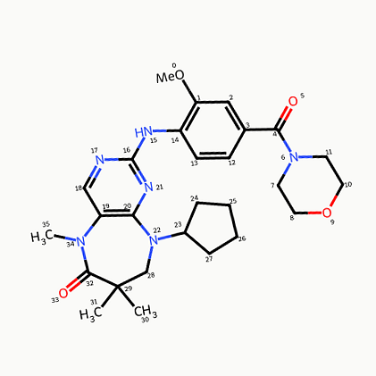 COc1cc(C(=O)N2CCOCC2)ccc1Nc1ncc2c(n1)N(C1CCCC1)CC(C)(C)C(=O)N2C